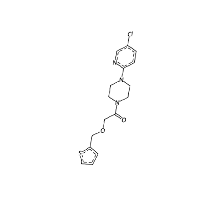 O=C(COCc1cccs1)N1CCN(c2ccc(Cl)cn2)CC1